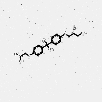 CC[C@@H](O)COc1ccc(C(C)(C)c2ccc(OC[C@H](O)COC(C)=O)cc2)cc1